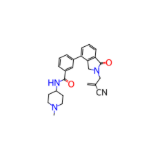 C=C(C#N)CN1Cc2c(cccc2-c2cccc(C(=O)NC3CCN(C)CC3)c2)C1=O